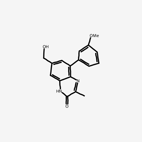 COc1cccc(-c2cc(CO)cc3[nH]c(=O)c(C)nc23)c1